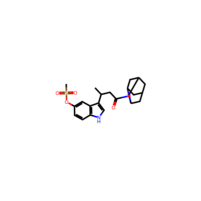 CC(CC(=O)N1C2CC3CC(C2)CC1C3)c1c[nH]c2ccc(OS(C)(=O)=O)cc12